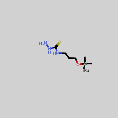 CC(C)(C)[Si](C)(C)OCCCNC(=S)NN